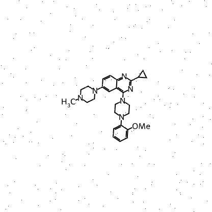 COc1ccccc1N1CCN(c2nc(C3CC3)nc3ccc(N4CCN(C)CC4)cc23)CC1